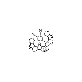 N#Cc1cc(-n2c3ccccc3c3ccc4sc5ccccc5c4c32)c(-n2c3ccccc3c3ccc4sc5ccccc5c4c32)cc1C#N